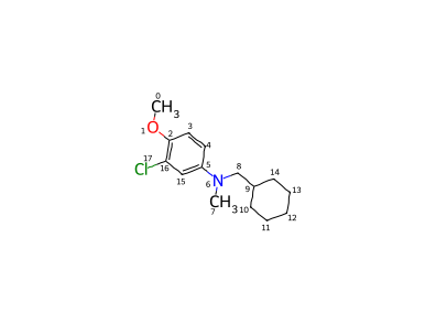 COc1ccc(N(C)CC2CCCCC2)cc1Cl